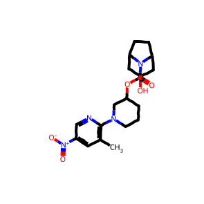 Cc1cc([N+](=O)[O-])cnc1N1CCCC(OC(=O)N2C3CCC2CC(O)C3)C1